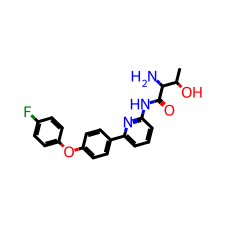 CC(O)C(N)C(=O)Nc1cccc(-c2ccc(Oc3ccc(F)cc3)cc2)n1